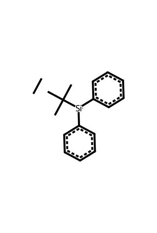 CC.CC(C)(C)[Si](c1ccccc1)c1ccccc1